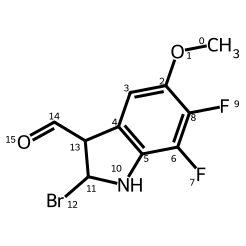 COc1cc2c(c(F)c1F)NC(Br)C2C=O